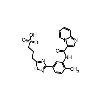 Cc1ccc(-c2noc(CCCS(=O)(=O)O)n2)cc1NC(=O)c1cnc2ccccn12